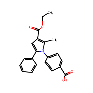 CCOC(=O)c1cc(-c2ccccc2)n(-c2ccc(C(=O)O)cc2)c1C